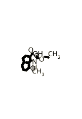 C=CCOC(=O)Nc1c(C(=O)O)ccc2cccc(OC)c12